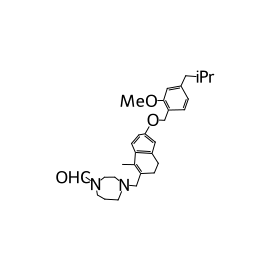 COc1cc(CC(C)C)ccc1COc1ccc2c(c1)CCC(CN1CCCN(C=O)CC1)=C2C